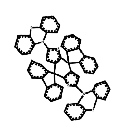 c1ccc2c(c1)Sc1ccccc1N2c1cc2c(s1)C1(c3ccccc3-c3ccccc31)c1cc(N3c4ccccc4Sc4ccccc43)sc1C21c2ccccc2-c2ccccc21